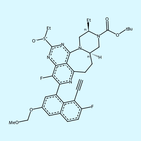 C#Cc1c(F)ccc2cc(OCOC)cc(-c3nc4c5c(nc([S+]([O-])CC)nc5c3F)N3C[C@@H](CC)N(C(=O)OC(C)(C)C)C[C@H]3CC4)c12